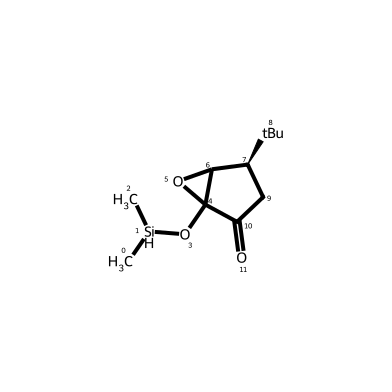 C[SiH](C)OC12OC1[C@@H](C(C)(C)C)CC2=O